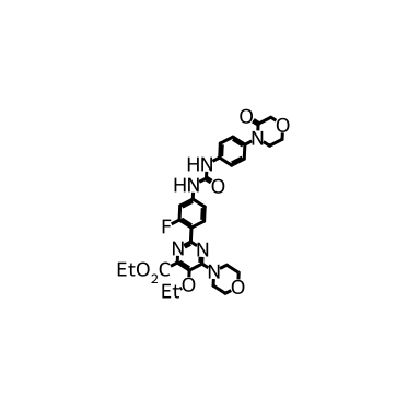 CCOC(=O)c1nc(-c2ccc(NC(=O)Nc3ccc(N4CCOCC4=O)cc3)cc2F)nc(N2CCOCC2)c1OCC